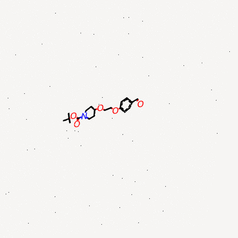 CC(C)(C)OC(=O)N1CCC(OCCOc2ccc(C=O)cc2)CC1